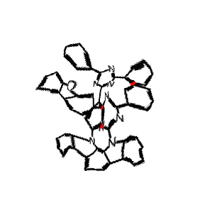 c1ccc(-c2nc(-c3ccccc3)nc(-c3ccc(-n4c5ccccc5c5ccc6c7ccccc7n(-c7nc(-c8ccccc8)nc(-c8ccc9c(c8)oc8ccccc89)n7)c6c54)cc3)n2)cc1